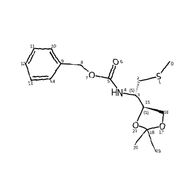 CSC[C@@H](NC(=O)OCc1ccccc1)[C@H]1COC(C)(C)O1